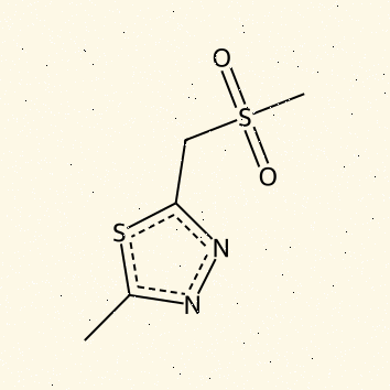 Cc1nnc(CS(C)(=O)=O)s1